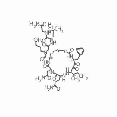 CC[C@H](C)C1NN[C@@H](CCC(N)=O)C(=O)N[C@@H](CC(N)=O)C(=O)N[C@H](C(=O)N(CCCO)CC(=O)N[C@@H](CC(C)C)C(=O)NCC(N)=O)CCSCCC(=O)N[C@@H](Cc2ccccc2)C(=O)C1=O